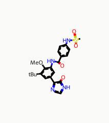 COc1c(NC(=O)c2ccc(NS(C)(=O)=O)cc2)cc(-c2ncc[nH]c2=O)cc1C(C)(C)C